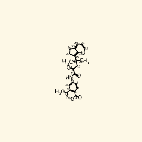 Cc1noc(=O)c2ccc(NC(=O)C(=O)CC(C)(C)C3=C4OC=CC=C4CC3)cc12